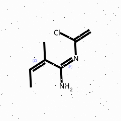 C=C(Cl)/N=C(N)\C(C)=C/C